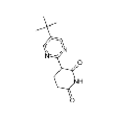 CC(C)(C)c1cnc(C2CCC(=O)NC2=O)nc1